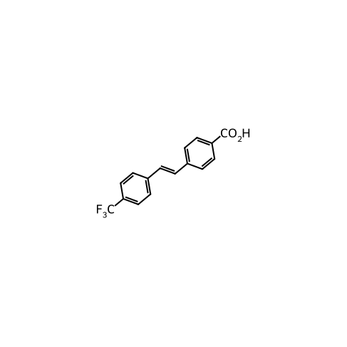 O=C(O)c1ccc(/C=C/c2ccc(C(F)(F)F)cc2)cc1